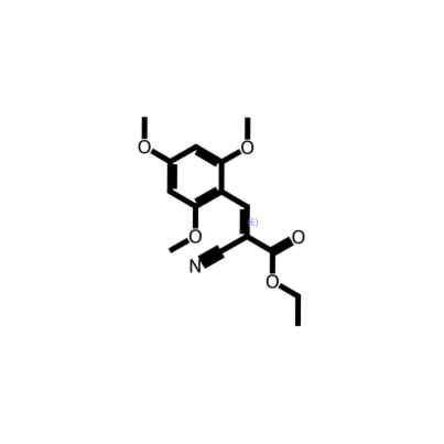 CCOC(=O)/C(C#N)=C/c1c(OC)cc(OC)cc1OC